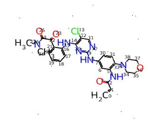 C=CC(=O)Nc1cc(Nc2ncc(Cl)c(Nc3ccccc3C(=O)C(=O)N(C)C)n2)ccc1N1CCOCC1